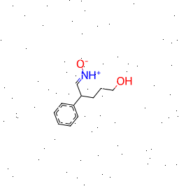 [O-][NH+]=CC(CCCO)c1ccccc1